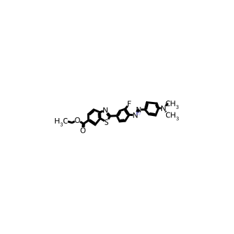 CCOC(=O)c1ccc2nc(-c3ccc(/N=N/c4ccc(N(C)C)cc4)c(F)c3)sc2c1